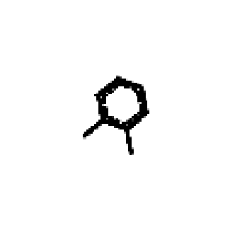 Cc1[c][c]ccc1C